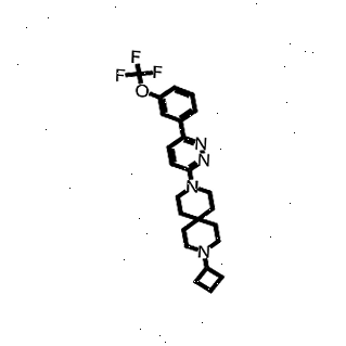 FC(F)(F)Oc1cccc(-c2ccc(N3CCC4(CC3)CCN(C3CCC3)CC4)nn2)c1